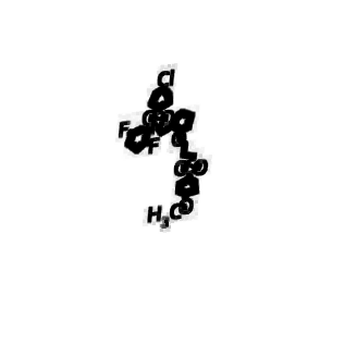 COc1ccc(S(=O)(=O)CCCOc2ccccc2CN(c2cc(F)ccc2F)S(=O)(=O)c2ccc(Cl)cc2)cc1